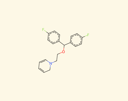 Fc1ccc(C(OCCN2C=CC=CC2)c2ccc(F)cc2)cc1